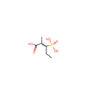 CC/C(=C(/C)C(=O)O)P(=O)(O)O